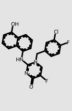 O=c1nc(Nc2cccc3c(O)cccc23)n(Cc2ccc(F)c(Cl)c2)cc1F